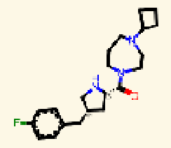 O=C([C@@H]1C[C@@H](Cc2ccc(F)cc2)CN1)N1CCCN(C2CCC2)CC1